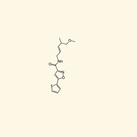 COCC(C)/C=C/CNC(=O)c1cc(-c2cccs2)on1